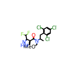 COCN(C(=O)c1c[nH]nc1C(F)F)C(C)Cc1c(Cl)cc(Cl)cc1Cl